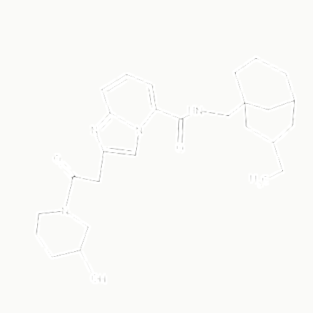 CCC1CC2CCCC(CNC(=O)c3cccc4nc(CC(=O)N5CCCC(O)C5)cn34)(C1)C2